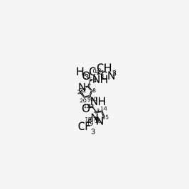 CC(C)(C#N)NC(=O)c1cc(NC(=O)c2ccnn2CC(F)(F)F)ccn1